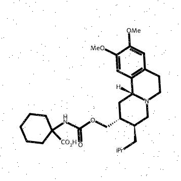 COc1cc2c(cc1OC)[C@H]1C[C@@H](COC(=O)NC3(C(=O)O)CCCCC3)[C@H](CC(C)C)CN1CC2